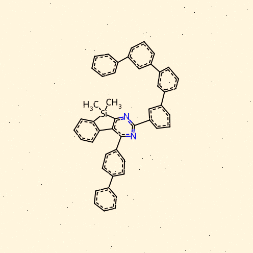 C[Si]1(C)c2ccccc2-c2c(-c3ccc(-c4ccccc4)cc3)nc(-c3cccc(-c4cccc(-c5cccc(-c6ccccc6)c5)c4)c3)nc21